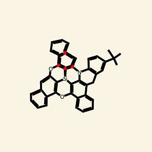 CC(C)(C)c1ccc2c(c1)Cc1c3c4c(c5ccccc15)Oc1c5c(cc6ccccc16)Oc1c(c(cc6ccccc16)N23)[Si]54c1ccccc1